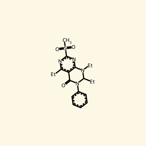 CCc1nc(S(C)(=O)=O)nc2c1C(=O)N(c1ccccc1)C(CC)N2CC